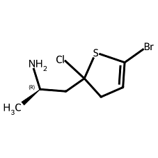 C[C@@H](N)CC1(Cl)CC=C(Br)S1